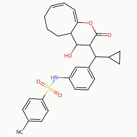 N#Cc1ccc(S(=O)(=O)Nc2cccc(C(C3CC3)C3C(=O)OC4=CC=CCCCC4C3O)c2)cc1